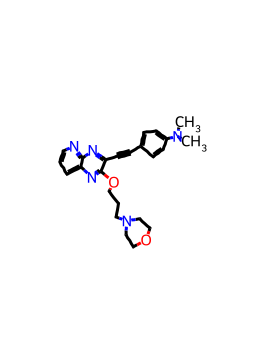 CN(C)c1ccc(C#Cc2nc3ncccc3nc2OCCCN2CCOCC2)cc1